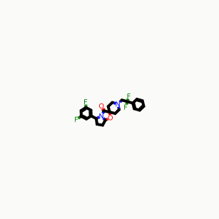 O=C1N2C(CCC2c2cc(F)cc(F)c2)OC12CCN(CC(F)(F)c1ccccc1)CC2